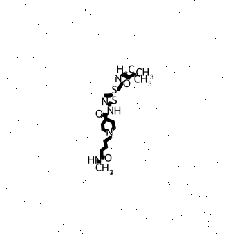 CNC(=O)CCCCN1CCC(C(=O)Nc2ncc(SCc3ncc(C(C)(C)C)o3)s2)CC1